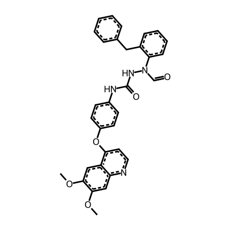 COc1cc2nccc(Oc3ccc(NC(=O)NN(C=O)c4ccccc4Cc4ccccc4)cc3)c2cc1OC